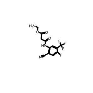 CCOC(=O)CC(=O)Nc1cc(C(F)(F)F)c(F)cc1C#N